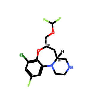 Fc1cc(Cl)c2c(c1)N1CCNC[C@H]1C[C@@H](COC(F)F)O2